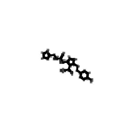 NC(=O)c1c(SCc2ccc(Cl)cc2)nsc1NC(=O)NCc1ccco1